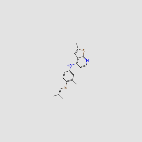 CC(C)=CSc1ccc(Nc2ccnc3sc(C)cc23)cc1C